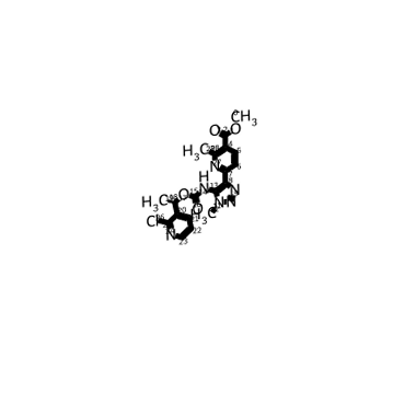 COC(=O)c1ccc(-c2nnn(C)c2NC(=O)O[C@H](C)c2cccnc2Cl)nc1C